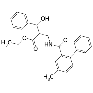 CCOC(=O)C(CNC(=O)c1cc(C)ccc1-c1ccccc1)C(O)c1ccccc1